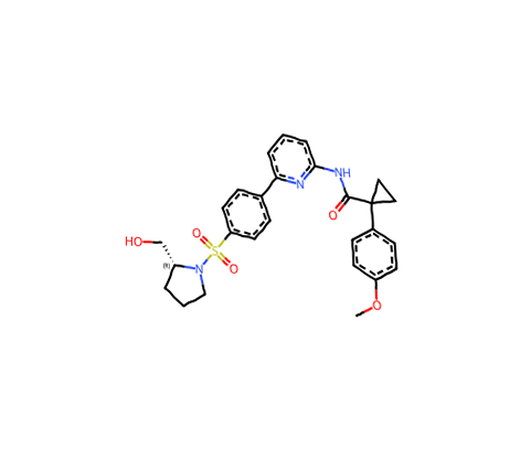 COc1ccc(C2(C(=O)Nc3cccc(-c4ccc(S(=O)(=O)N5CCC[C@@H]5CO)cc4)n3)CC2)cc1